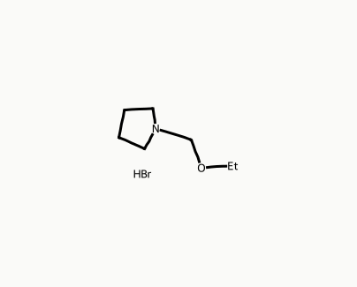 Br.CCOCN1CCCC1